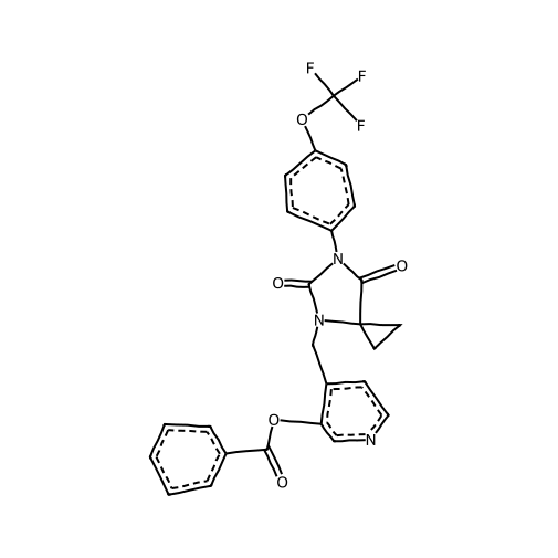 O=C(Oc1cnccc1CN1C(=O)N(c2ccc(OC(F)(F)F)cc2)C(=O)C12CC2)c1ccccc1